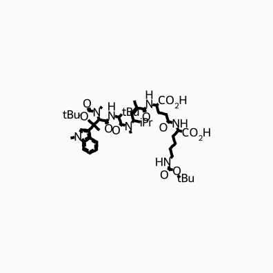 CC(=CC(C(C)C)N(C)C(=O)C(NC(=O)C(N(C)C(=O)OC(C)(C)C)C(C)(C)c1cn(C)c2ccccc12)C(C)(C)C)C(=O)NC(CCC(=O)NC(CCCCNC(=O)OC(C)(C)C)C(=O)O)C(=O)O